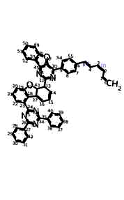 C=C/C=C\C=C\c1ccc(-c2nc(C3C=CC=C4c5c(cccc5-c5nc(-c6ccccc6)nc(-c6ccccc6)n5)OC43)nc3c2oc2ccccc23)cc1